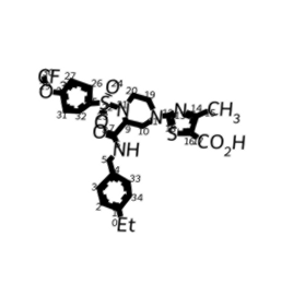 CCc1ccc(CNC(=O)C2CN(c3nc(C)c(C(=O)O)s3)CCN2S(=O)(=O)c2ccc(OC(F)(F)F)cc2)cc1